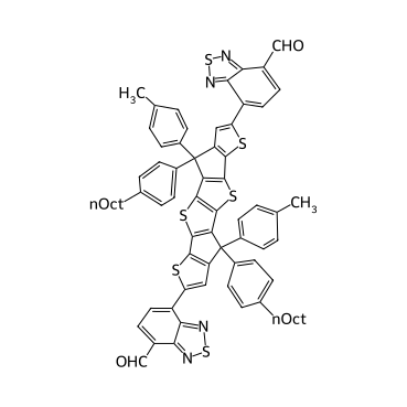 CCCCCCCCc1ccc(C2(c3ccc(C)cc3)c3cc(-c4ccc(C=O)c5nsnc45)sc3-c3sc4c5c(sc4c32)-c2sc(-c3ccc(C=O)c4nsnc34)cc2C5(c2ccc(C)cc2)c2ccc(CCCCCCCC)cc2)cc1